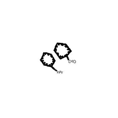 CCCc1ccccc1.O=Cc1ccccc1